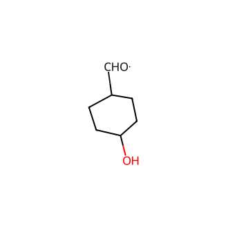 O=[C]C1CCC(O)CC1